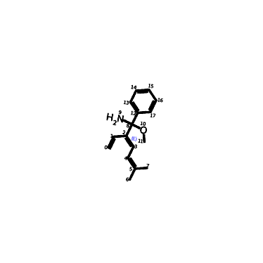 C=C/C(=C\C=C(C)C)C(N)(OC)c1ccccc1